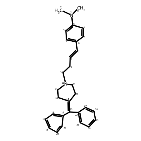 CN(C)c1ccc(/C=C/CCN2CCC(=C(c3ccccc3)c3ccccc3)CC2)cc1